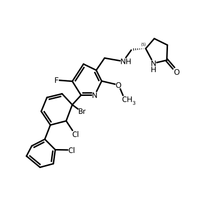 COc1nc(C2(Br)C=CC=C(c3ccccc3Cl)C2Cl)c(F)cc1CNC[C@@H]1CCC(=O)N1